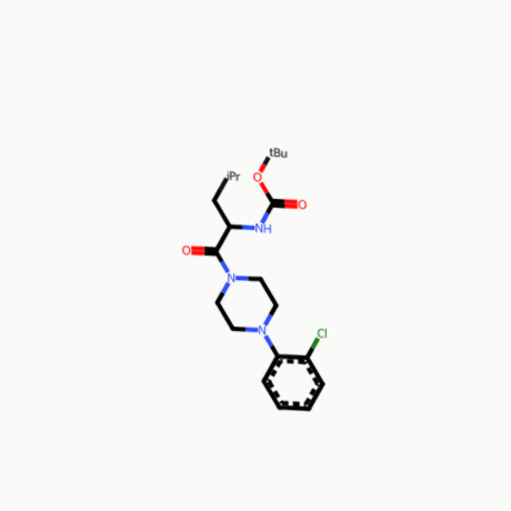 CC(C)CC(NC(=O)OC(C)(C)C)C(=O)N1CCN(c2ccccc2Cl)CC1